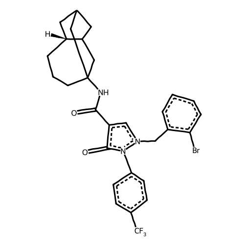 O=C(NC12CCC[C@@H]3CC(CC3C1)C2)c1cn(Cc2ccccc2Br)n(-c2ccc(C(F)(F)F)cc2)c1=O